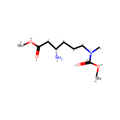 CN(CCC[C@H](N)CC(=O)OC(C)(C)C)C(=O)OC(C)(C)C